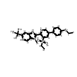 CCSc1ccc(-c2cnc(-c3nc4cc(C(F)(F)F)ncc4n3C)c(S(=O)(=O)CC)c2)cc1